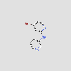 Brc1ccnc(Nc2cccnc2)c1